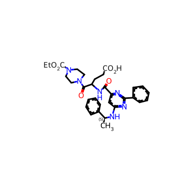 CCOC(=O)N1CCN(C(=O)C(CCC(=O)O)NC(=O)c2cc(N[C@@H](C)c3ccccc3)nc(-c3ccccc3)n2)CC1